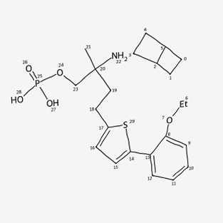 C1CC2CCC12.CCOc1ccccc1-c1ccc(CCC(C)(N)COP(=O)(O)O)s1